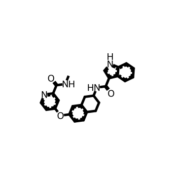 CNC(=O)c1cc(Oc2ccc3c(c2)CC(NC(=O)c2c[nH]c4ccccc24)CC3)ccn1